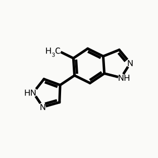 Cc1cc2cn[nH]c2cc1-c1cn[nH]c1